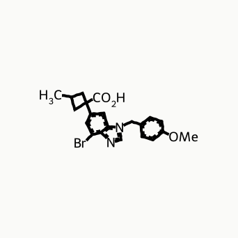 COc1ccc(Cn2cnc3c(Br)cc(C4(C(=O)O)CC(C)C4)cc32)cc1